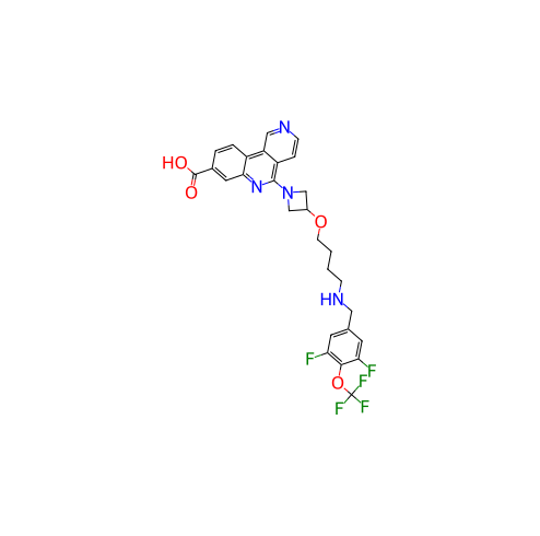 O=C(O)c1ccc2c(c1)nc(N1CC(OCCCCNCc3cc(F)c(OC(F)(F)F)c(F)c3)C1)c1ccncc12